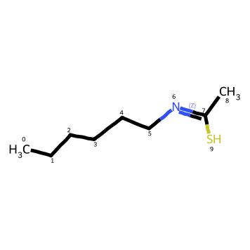 CCCCCC/N=C(/C)S